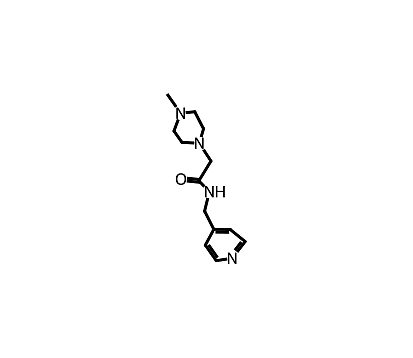 CN1CCN(CC(=O)NCc2ccncc2)CC1